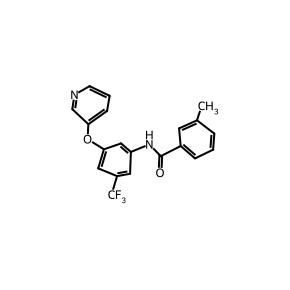 Cc1cccc(C(=O)Nc2cc(Oc3cccnc3)cc(C(F)(F)F)c2)c1